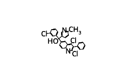 Cc1ccc(C(O)(c2cccc(Cl)c2)c2ccc3nc(Cl)c(-c4ccccc4)c(Cl)c3c2)cn1